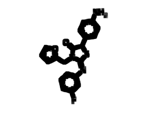 Nc1ccc(C2S/C(=N/c3cccc(F)c3)N(Cc3ccco3)C2=O)cc1